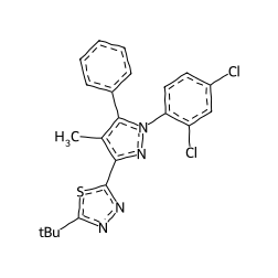 Cc1c(-c2nnc(C(C)(C)C)s2)nn(-c2ccc(Cl)cc2Cl)c1-c1ccccc1